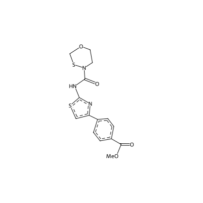 COC(=O)c1ccc(-c2csc(NC(=O)N3CCOCS3)n2)cc1